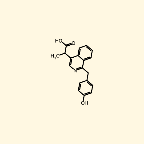 CC(C(=O)O)c1cnc(Cc2ccc(O)cc2)c2ccccc12